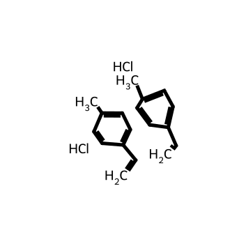 C=Cc1ccc(C)cc1.C=Cc1ccc(C)cc1.Cl.Cl